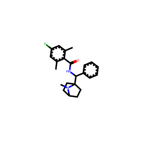 Cc1cc(F)cc(C)c1C(=O)NC(c1ccccc1)C12CCC(CC1)N2C